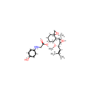 CO[C@@H]1[C@H](OC(=O)CNc2ccc(O)cc2)CC[C@]2(CO2)[C@H]1[C@@]1(C)OC1CC=C(C)C